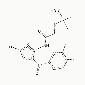 CCc1cc(C(=O)c2ccc(C)c(C)c2)c(NC(=O)CSC(C)(C)C(=O)O)s1